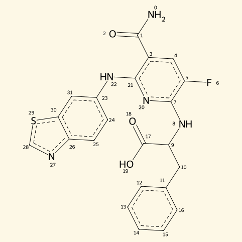 NC(=O)c1cc(F)c(NC(Cc2ccccc2)C(=O)O)nc1Nc1ccc2ncsc2c1